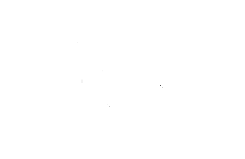 O=C(Nc1cccnc1Oc1ccc([N+](=O)[O-])cc1)C1CCC1